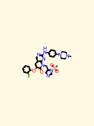 CN1CCN(c2ccc(Nc3ncc4cc(Oc5ccccc5F)c(=O)n(Cc5cncn5S(C)(=O)=O)c4n3)cc2)CC1